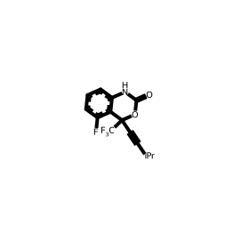 CC(C)C#CC1(C(F)(F)F)OC(=O)Nc2cccc(F)c21